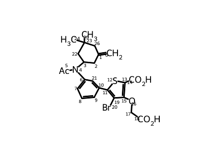 C=C1CC(N(C(C)=O)c2cccc(-c3sc(C(=O)O)c(OCC(=O)O)c3Br)c2)CC(C)(C)C1